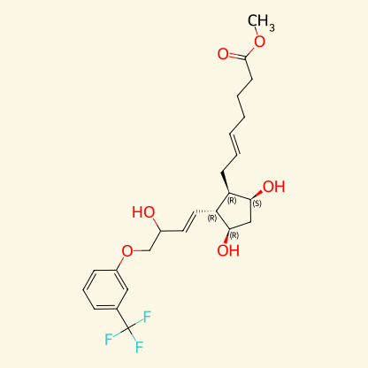 COC(=O)CCCC=CC[C@@H]1[C@@H](C=CC(O)COc2cccc(C(F)(F)F)c2)[C@H](O)C[C@@H]1O